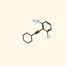 Nc1cccc(Cl)c1C#CC1CCCCC1